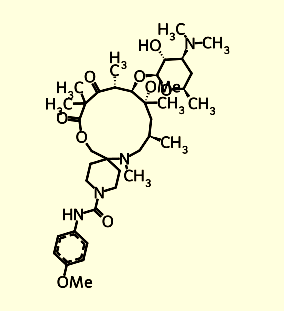 COc1ccc(NC(=O)N2CCC3(CC2)COC(=O)C(C)(C)C(=O)[C@H](C)[C@@H](O[C@@H]2O[C@H](C)C[C@H](N(C)C)[C@H]2O)[C@](C)(OC)C[C@@H](C)CN3C)cc1